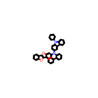 c1ccc(-c2ccccc2N(c2ccc3c(c2)oc2c4ccccc4oc32)c2ccc3c(c2)c2ccccc2n3-c2ccccc2)cc1